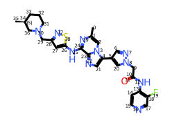 Cc1cn2c(-c3cnn(CC(=O)Nc4ccncc4F)c3)cnc2c(Nc2cc(CN3CCC[C@H](C)C3)ns2)n1